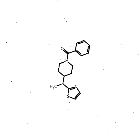 CN(c1nccs1)C1CCN(C(=O)c2ccccc2)CC1